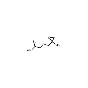 CCCCC(CC)COCC1(C)CO1